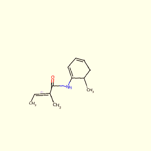 C/C=C(\C)C(=O)NC1=CC=CCC1C